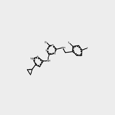 CCc1nc(NCc2ccc(F)cc2F)nc(Nc2cc(C3CC3)[nH]n2)n1